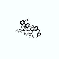 COC(=O)C[C@H](NC(=O)C(CC(C)C)n1cc(CN2CCC(F)C2)ccc1=O)c1cncc(-c2c(C)cccc2C)c1